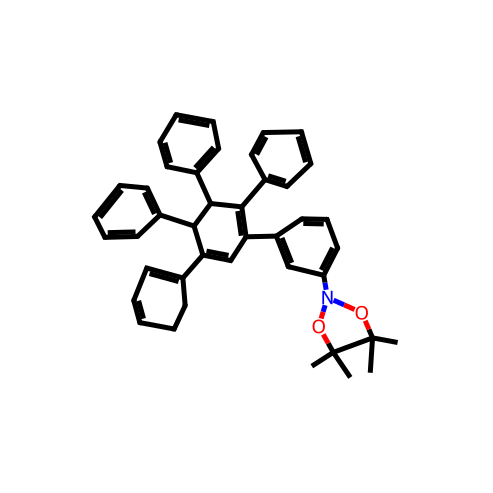 CC1(C)ON(c2cccc(C3=C(c4ccccc4)C(c4ccccc4)C(c4ccccc4)C(C4=CC=CCC4)=C3)c2)OC1(C)C